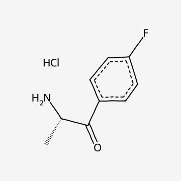 C[C@H](N)C(=O)c1ccc(F)cc1.Cl